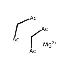 [CH2-]C(=O)CC(C)=O.[CH2-]C(=O)CC(C)=O.[Mg+2]